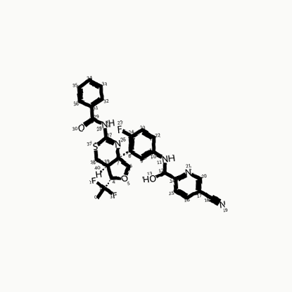 CC(F)(F)[C@H]1OC[C@]2(c3cc(NC(O)c4ccc(C#N)cn4)ccc3F)N=C(NC(=O)c3ccccc3)SC[C@H]12